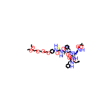 C#CCC(=O)N[C@@H](Cc1ccccc1)C(=O)N[C@@H](CCCCNC(=O)OC(C)(C)C)C(=O)N[C@@H](Cc1ccccc1)C(=O)N[C@@H](CSC)C(=O)N[C@@H](CSC)C(=O)Nc1ccc(OCCOCCOCCC(OCC)OCC)cc1